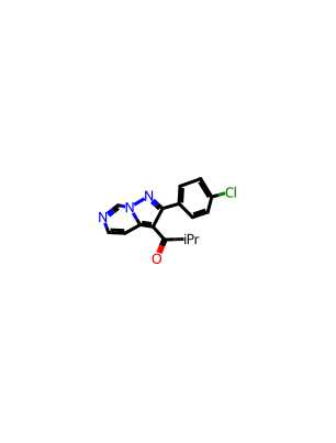 CC(C)C(=O)c1c(-c2ccc(Cl)cc2)nn2cnccc12